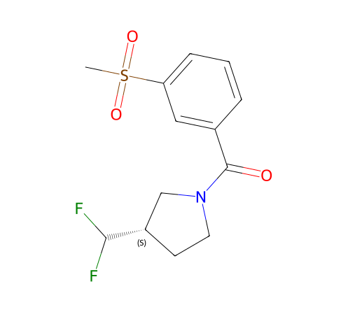 CS(=O)(=O)c1cccc(C(=O)N2CC[C@H](C(F)F)C2)c1